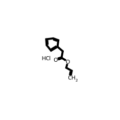 C=CCOC(=O)Cc1ccccc1.Cl